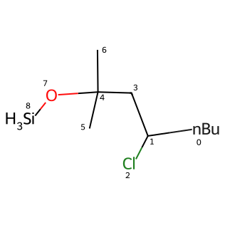 CCCCC(Cl)CC(C)(C)O[SiH3]